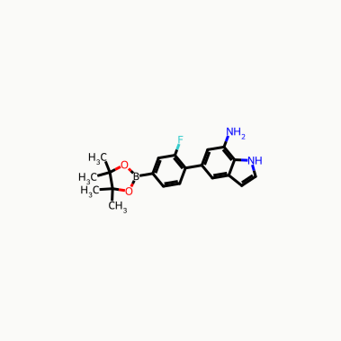 CC1(C)OB(c2ccc(-c3cc(N)c4[nH]ccc4c3)c(F)c2)OC1(C)C